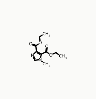 CCOC(=O)c1ncn(C)c1C(=O)OCC